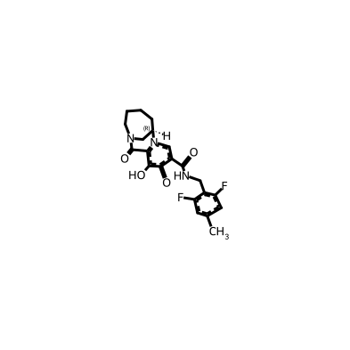 Cc1cc(F)c(CNC(=O)c2cn3c(c(O)c2=O)C(=O)N2CCCC[C@@H]3C2)c(F)c1